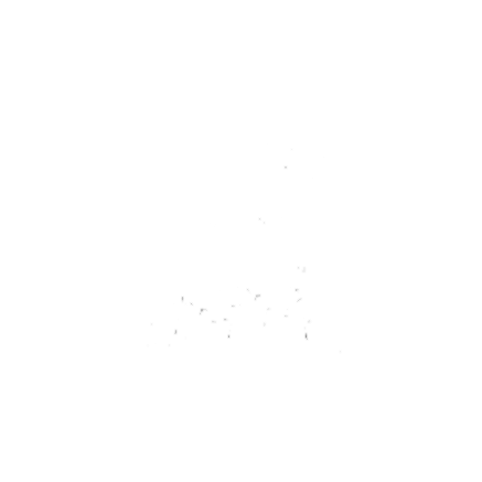 C=C(C)[C@@H]1CC[C@]2(NCCC(CO[Si](C)(C)C(C)(C)C)N3CCS(=O)(=O)CC3)CC[C@]3(C)[C@H](CC[C@@H]4[C@@]5(C)CC[C@H](O)C(C)(C)[C@@H]5CC[C@]43C)[C@@H]12